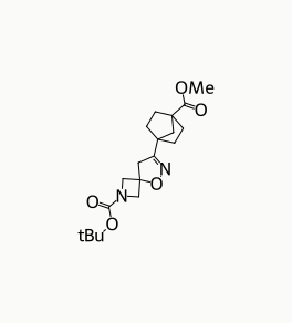 COC(=O)C12CCC(C3=NOC4(C3)CN(C(=O)OC(C)(C)C)C4)(CC1)C2